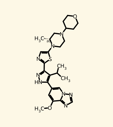 COc1cc(-c2[nH]nc(-c3ncc(N4CCN(C5CCOCC5)C[C@H]4C)s3)c2C(C)C)cn2ncnc12